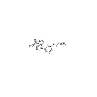 CCCCc1cccc(OCC(C)(C)C(=O)O)c1